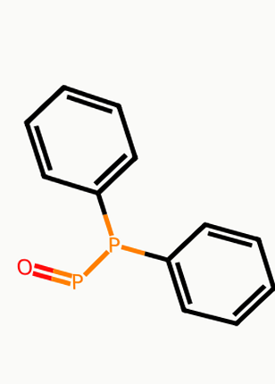 O=PP(c1ccccc1)c1ccccc1